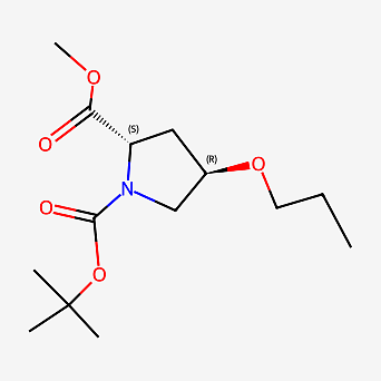 CCCO[C@@H]1C[C@@H](C(=O)OC)N(C(=O)OC(C)(C)C)C1